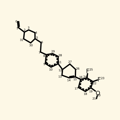 C=CC1CCC(CCc2ccc(C3CC=C(c4ccc(OC)c(F)c4F)CC3)cc2)CC1